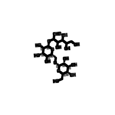 O=CC(O[C@H]1O[C@H](CO[C@H]2O[C@H](CO)[C@@H](O)[C@H](O)[C@H]2O)[C@@H](O)[C@H](O)[C@H]1O)C(O)C(O)C(O)CO